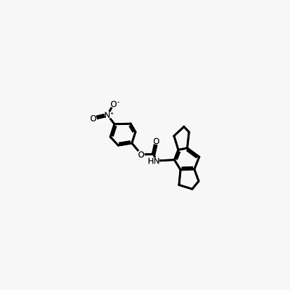 O=C(Nc1c2c(cc3c1CCC3)CCC2)Oc1ccc([N+](=O)[O-])cc1